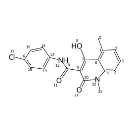 Cc1cccc2c1c(O)c(C(=O)Nc1ccc(Cl)cc1)c(=O)n2C